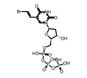 O=c1[nH]c(=O)n([C@H]2C[C@H](O)[C@@H](COP(=O)(O)OP(=O)(O)OP(=O)(O)O)O2)cc1/C=C/Br